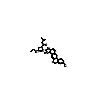 CCO[C@H]1C[C@@H](c2nc3ccc4cc5c(cc4c3[nH]2)OCc2cc(Cl)ccc2-5)N(C(=O)[CH]C(C)C)C1